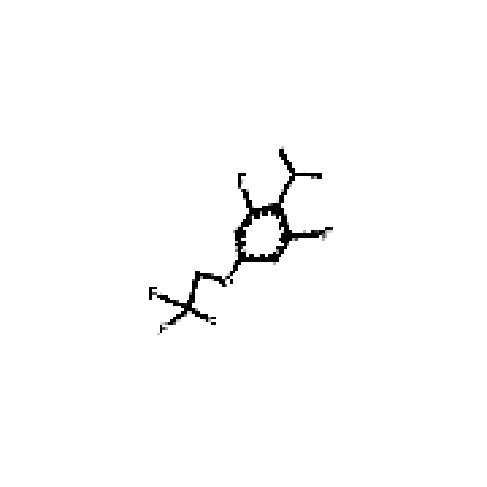 CC(C)c1c(F)cc(OCC(F)(F)F)cc1F